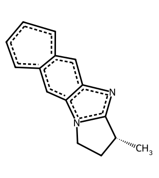 C[C@@H]1CCn2c1nc1cc3ccccc3cc12